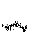 Cc1cc(CCCCC2(OC=O)CC2)ccc1CCCCCC(C)(C)C(=O)O